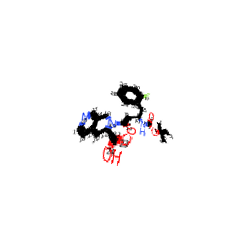 CC(C)(C)OC(=O)N[C@@H](CC(=O)N1Cc2cnccc2CC1C(=O)O)Cc1ccccc1F